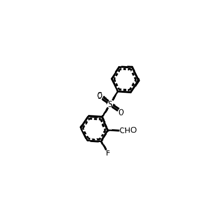 O=Cc1c(F)cccc1S(=O)(=O)c1ccccc1